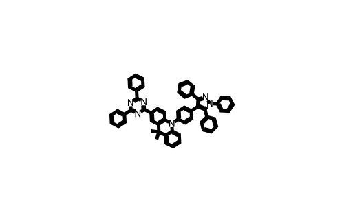 CC1(C)c2ccccc2N(c2ccc(-c3c(-c4ccccc4)nn(-c4ccccc4)c3-c3ccccc3)cc2)c2ccc(-c3nc(-c4ccccc4)nc(-c4ccccc4)n3)cc21